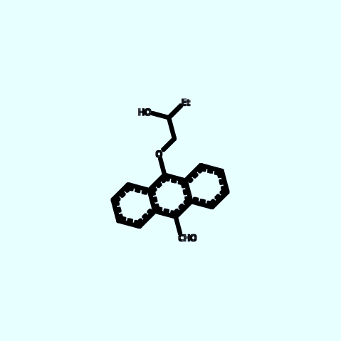 CCC(O)COc1c2ccccc2c(C=O)c2ccccc12